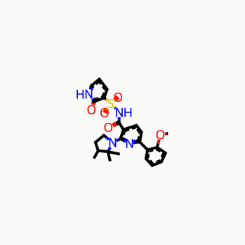 COc1ccccc1-c1ccc(C(=O)NS(=O)(=O)c2ccc[nH]c2=O)c(N2CCC(C)C2(C)C)n1